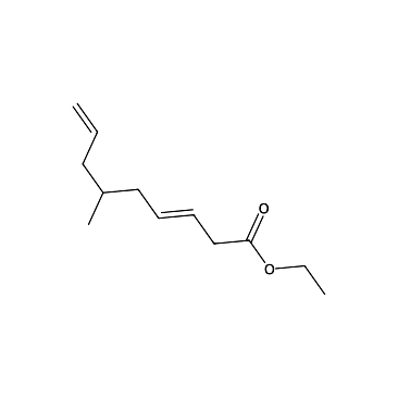 C=CCC(C)CC=CCC(=O)OCC